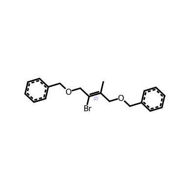 C/C(COCc1ccccc1)=C(/Br)COCc1ccccc1